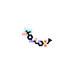 O=C(Cc1ccc(S(=O)(=O)CC2CC2)cn1)Nc1ccc(C(O)(C(F)(F)F)C(F)(F)F)cc1